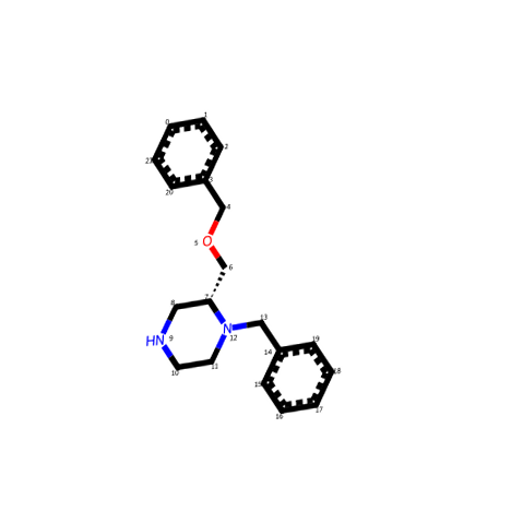 c1ccc(COC[C@H]2CNCCN2Cc2ccccc2)cc1